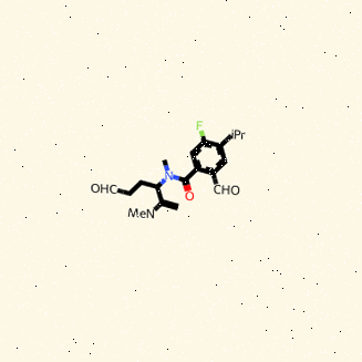 C=C(NC)C(CCC=O)N(C)C(=O)c1cc(F)c(C(C)C)cc1C=O